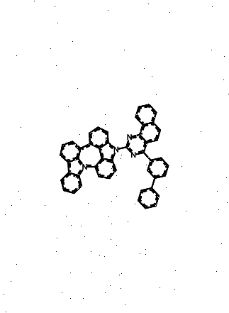 c1ccc(-c2cccc(-c3nc(-n4c5cccc6c7cccc8c9ccccc9n(c9cccc4c9c65)c78)nc4c3ccc3ccccc34)c2)cc1